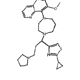 COc1ccc2cccnc2c1N1CCCN(C(CCN2CCCC2)c2csc(C3CC3)n2)CC1